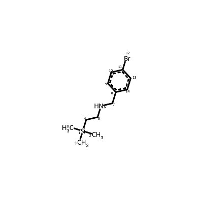 C[Si](C)(C)CCNCc1ccc(Br)cc1